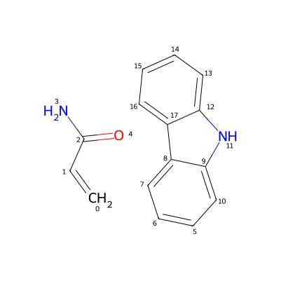 C=CC(N)=O.c1ccc2c(c1)[nH]c1ccccc12